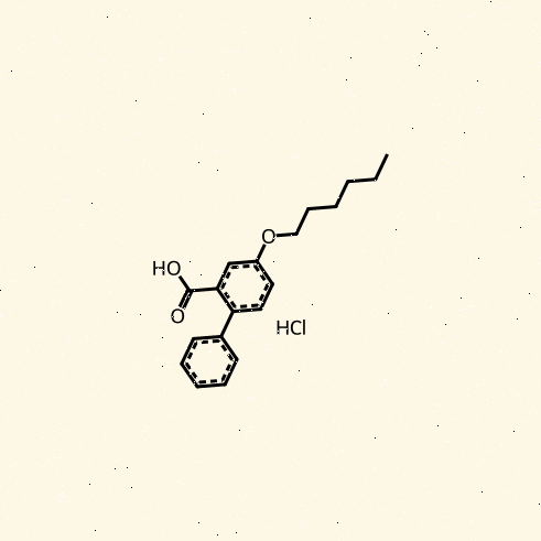 CCCCCCOc1ccc(-c2ccccc2)c(C(=O)O)c1.Cl